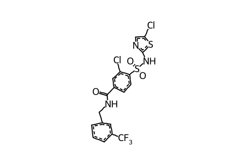 O=C(NCc1cccc(C(F)(F)F)c1)c1ccc(S(=O)(=O)Nc2ncc(Cl)s2)c(Cl)c1